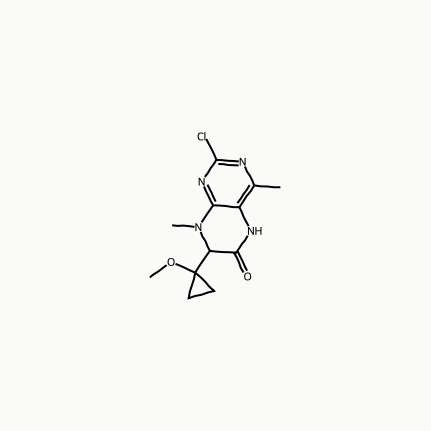 COC1(C2C(=O)Nc3c(C)nc(Cl)nc3N2C)CC1